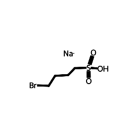 O=S(=O)(O)CCCCBr.[Na]